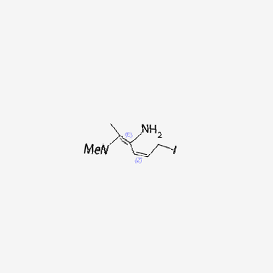 CN/C(C)=C(N)\C=C/CI